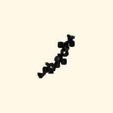 Cc1cc(O[C@@H]2CCN(c3ccc4c(c3)C(=O)N(CC(=O)N(C)C)C4)C2=O)cnc1OCC1CC1